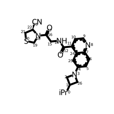 CC(C)C1CN(c2ccc3nccc(C(=O)NCC(=O)N4CSC[C@H]4C#N)c3c2)C1